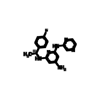 C[C@H](Nc1cc(N)cc(Nc2cnccn2)n1)c1ccc(F)cc1